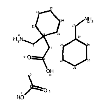 CC(=O)O.NCC1(CC(=O)O)CCCCC1.NCC1CCCCC1